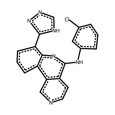 Clc1cccc(Nc2nc3c(-c4nnc[nH]4)cccc3c3cnccc23)c1